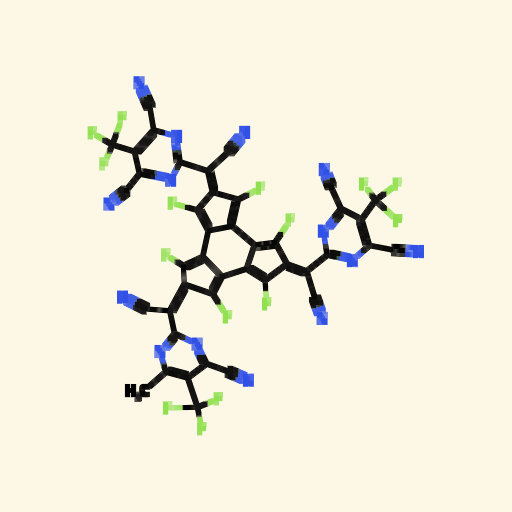 Cc1nc(/C(C#N)=C2/C(F)=c3c4c(c5c(c3=C2F)=C(F)/C(=C(\C#N)c2nc(C#N)c(C(F)(F)F)c(C#N)n2)C=5F)=C(F)/C(=C(\C#N)c2nc(C#N)c(C(F)(F)F)c(C#N)n2)C=4F)nc(C#N)c1C(F)(F)F